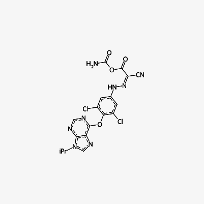 CC(C)n1cnc2c(Oc3c(Cl)cc(NN=C(C#N)C(=O)OC(N)=O)cc3Cl)ncnc21